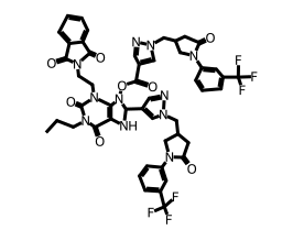 CCCn1c(=O)c2c(n(CCN3C(=O)c4ccccc4C3=O)c1=O)N(OC(=O)c1cnn(CC3CC(=O)N(c4cccc(C(F)(F)F)c4)C3)c1)C(c1cnn(CC3CC(=O)N(c4cccc(C(F)(F)F)c4)C3)c1)N2